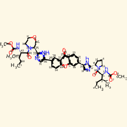 CC[C@H](C)[C@H](NC(=O)OC)C(=O)N1CCC[C@H]1c1ncc(-c2ccc3c(=O)c4cc(-c5cnc([C@@H]6COCCN6C(=O)[C@@H](NC(=O)OC)[C@@H](C)CC)[nH]5)ccc4oc3c2)[nH]1